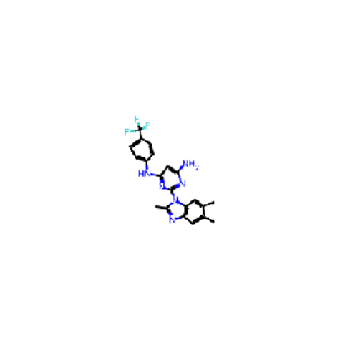 Cc1cc2nc(C)n(-c3nc(N)cc(Nc4ccc(C(F)(F)F)cc4)n3)c2cc1C